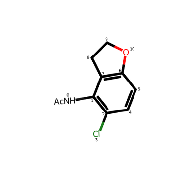 CC(=O)Nc1c(Cl)ccc2c1CCO2